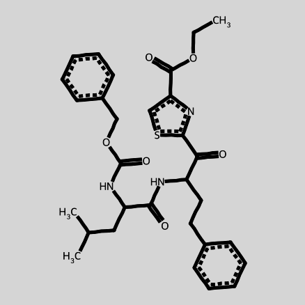 CCOC(=O)c1csc(C(=O)C(CCc2ccccc2)NC(=O)C(CC(C)C)NC(=O)OCc2ccccc2)n1